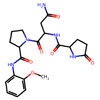 COc1ccccc1NC(=O)C1CCCN1C(=O)C(CC(N)=O)NC(=O)C1CCC(=O)N1